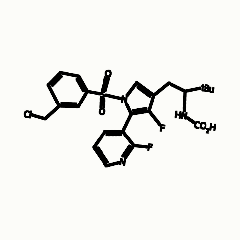 CC(C)(C)C(Cc1cn(S(=O)(=O)c2cccc(CCl)c2)c(-c2cccnc2F)c1F)NC(=O)O